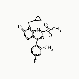 Cc1cc(F)ccc1-c1nc(S(C)(=O)=O)nc2c1ccc(=O)n2CC1CC1